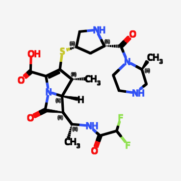 C[C@@H](NC(=O)C(F)F)[C@H]1C(=O)N2C(C(=O)O)=C(S[C@@H]3CN[C@H](C(=O)N4CCNC[C@@H]4C)C3)[C@H](C)[C@H]12